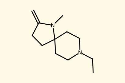 C=C1CCC2(CCN(CC)CC2)N1C